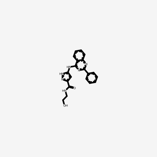 O=C(NCCO)c1cc(Nc2nc(-c3ccccc3)nc3ccccc23)[nH]n1